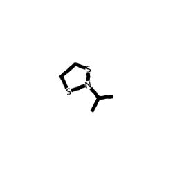 CC(C)N1SCCS1